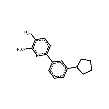 Cc1ccc(-c2cccc(N3CCCC3)c2)nc1C